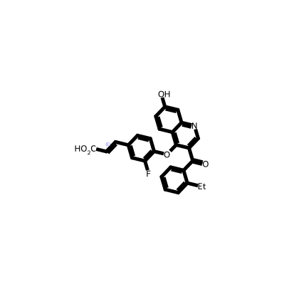 CCc1ccccc1C(=O)c1cnc2cc(O)ccc2c1Oc1ccc(/C=C/C(=O)O)cc1F